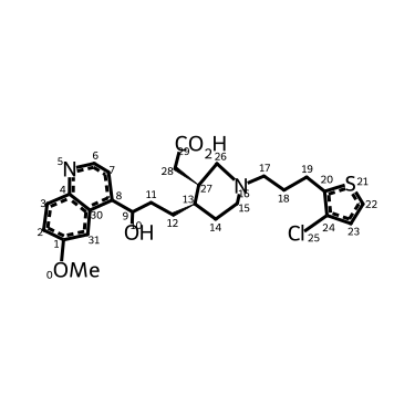 COc1ccc2nccc(C(O)CC[C@@H]3CCN(CCCc4sccc4Cl)C[C@@H]3CC(=O)O)c2c1